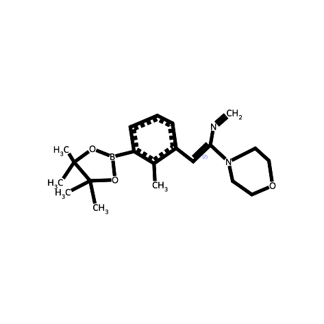 C=N/C(=C\c1cccc(B2OC(C)(C)C(C)(C)O2)c1C)N1CCOCC1